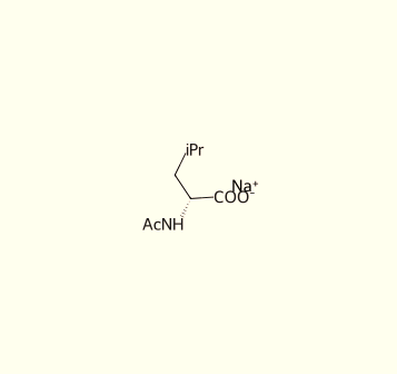 CC(=O)N[C@H](CC(C)C)C(=O)[O-].[Na+]